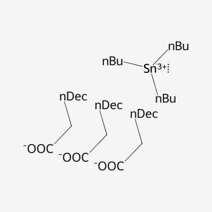 CCCCCCCCCCCC(=O)[O-].CCCCCCCCCCCC(=O)[O-].CCCCCCCCCCCC(=O)[O-].CCC[CH2][Sn+3]([CH2]CCC)[CH2]CCC